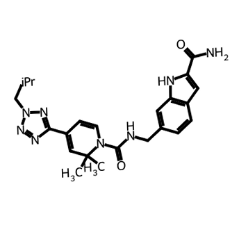 CC(C)Cn1nnc(C2=CC(C)(C)N(C(=O)NCc3ccc4cc(C(N)=O)[nH]c4c3)C=C2)n1